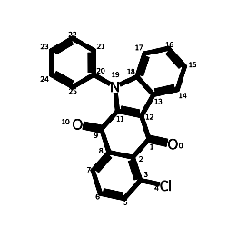 O=C1c2c(Cl)cccc2C(=O)c2c1c1ccccc1n2-c1ccccc1